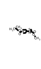 CCOC(=O)c1csc(C2CCN(C(=O)OCC(C)C)CC2)n1